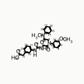 COc1cccc(N(CC(=O)N(C)c2ccccc2)C(=O)CNC(=O)Nc2cccc(CC(=O)O)c2)c1